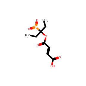 CCC(CC)(OC(=O)C=CC(=O)O)P(=O)=O